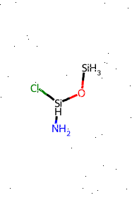 N[SiH](Cl)O[SiH3]